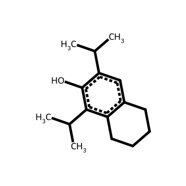 CC(C)c1cc2c(c(C(C)C)c1O)CCCC2